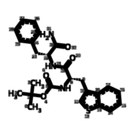 CC(C)(C)OC(=O)N[C@@H](Cc1csc2ccccc12)C(=O)N[C@H](Cc1ccccc1)C(N)=O